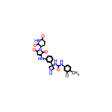 Cc1ccc(NC(=O)NC2(c3cccc(NC4=CC(=O)N(C5CCC(=O)NC5=O)C4=O)c3)CNC2)cc1Cl